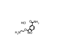 Cl.NCCOc1noc2ccc(C(N)=O)cc12